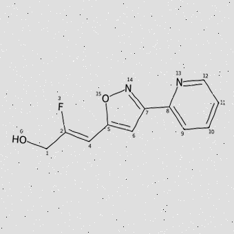 OCC(F)=Cc1cc(-c2ccccn2)no1